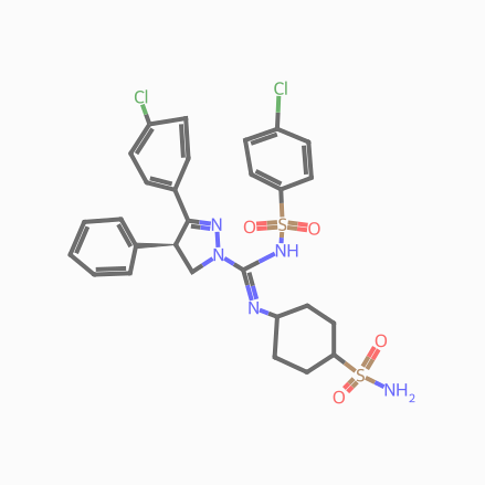 NS(=O)(=O)C1CCC(/N=C(\NS(=O)(=O)c2ccc(Cl)cc2)N2C[C@@H](c3ccccc3)C(c3ccc(Cl)cc3)=N2)CC1